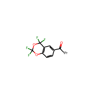 CC(C)C(=O)c1ccc2c(c1)C(F)(F)OC(F)(F)O2